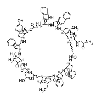 CCCC[C@H]1C(=O)N(C)CC(=O)N[C@@H](CC(=O)O)C(=O)N[C@@H](C(C)C)C(=O)N(C)[C@@H](Cc2ccccc2)C(=O)N[C@@H](Cc2ccc(O)cc2)C(=O)N(C)CC(=O)N[C@@H](Cc2c[nH]c3ccccc23)C(=O)N[C@@H](Cc2ccc3ccccc3c2)C(=O)N[C@@H](CC(C)C)C(=O)N[C@H](C(=O)NCC(N)=O)CSCC(=O)N[C@@H](Cc2ccccc2)C(=O)N(C)[C@@H](Cc2ccccc2)C(=O)N1C